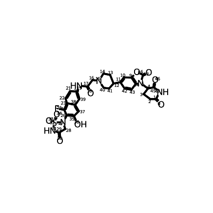 O=C1CCC(n2c(=O)oc3cc(C4CCN(CC(=O)Nc5ccc6c(F)c(N7CC(=O)NS7(=O)=O)c(O)cc6c5)CC4)ccc32)C(=O)N1